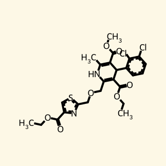 CCOC(=O)C1=C(COCc2nc(C(=O)OCC)cs2)NC(C)=C(C(=O)OC)C1c1cccc(Cl)c1Cl